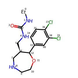 CCNC(=O)NC[C@@H]1CNCCOC1c1ccc(Cl)c(Cl)c1